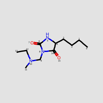 CCCCC1NC(=O)N(CN(C)CC)C1=O